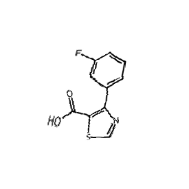 O=C(O)c1scnc1-c1cccc(F)c1